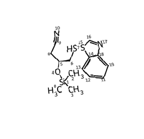 C[Si](C)(C)O[C@H](CS)CC#N.c1ccc2scnc2c1